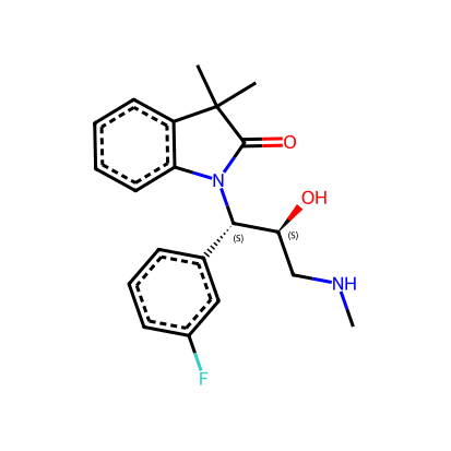 CNC[C@H](O)[C@H](c1cccc(F)c1)N1C(=O)C(C)(C)c2ccccc21